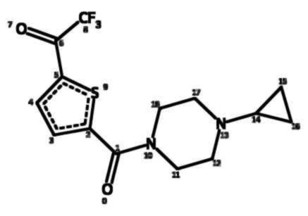 O=C(c1ccc(C(=O)C(F)(F)F)s1)N1CCN(C2CC2)CC1